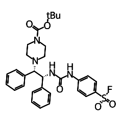 CC(C)(C)OC(=O)N1CCN([C@@H](c2ccccc2)[C@H](NC(=O)Nc2ccc(S(=O)(=O)F)cc2)c2ccccc2)CC1